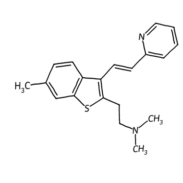 Cc1ccc2c(C=Cc3ccccn3)c(CCN(C)C)sc2c1